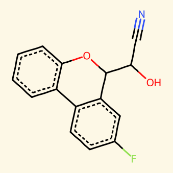 N#CC(O)C1Oc2ccccc2-c2ccc(F)cc21